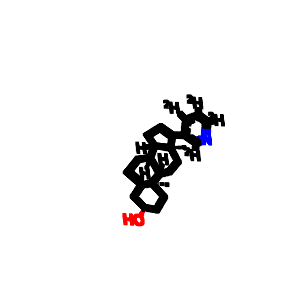 [2H]c1nc([2H])c(C2=CC[C@H]3[C@@H]4CC=C5C[C@@H](O)CC[C@]5(C)[C@H]4CC[C@]23C)c([2H])c1[2H]